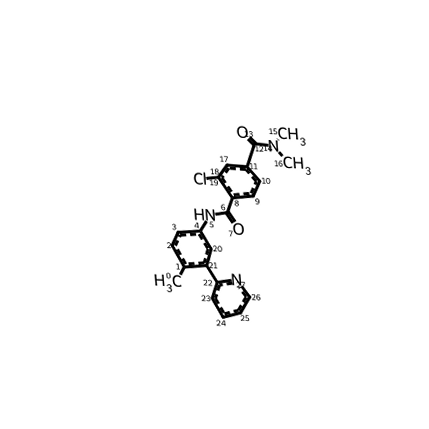 Cc1ccc(NC(=O)c2ccc(C(=O)N(C)C)cc2Cl)cc1-c1ccccn1